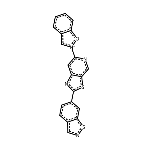 c1ccc2o[n+](-c3cc4nc(-c5ccc6cnsc6c5)sc4cn3)cc2c1